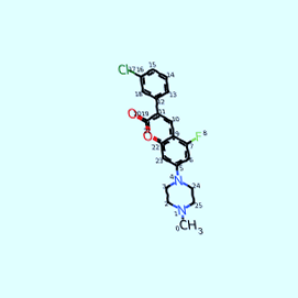 CN1CCN(c2cc(F)c3cc(-c4cccc(Cl)c4)c(=O)oc3c2)CC1